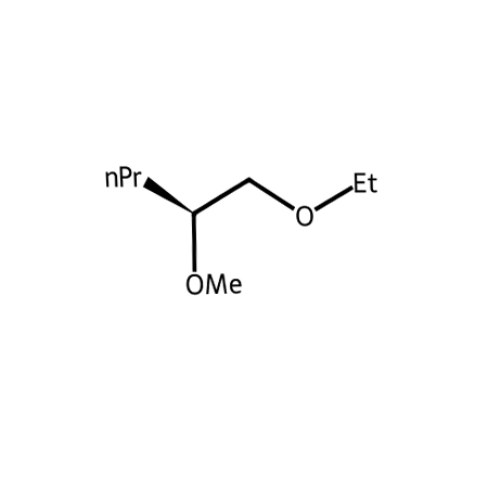 CCC[C@@H](COCC)OC